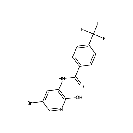 O=C(Nc1cc(Br)cnc1O)c1ccc(C(F)(F)F)cc1